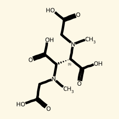 CN(CC(=O)O)C(C(=O)O)[C@@H](C(=O)O)N(C)CC(=O)O